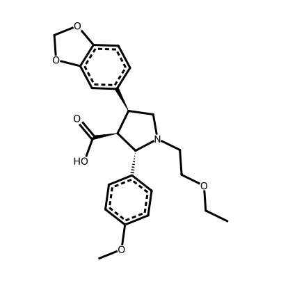 CCOCCN1C[C@H](c2ccc3c(c2)OCO3)[C@H](C(=O)O)[C@H]1c1ccc(OC)cc1